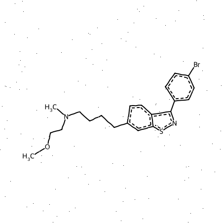 COCCN(C)CCCCc1ccc2c(-c3ccc(Br)cc3)nsc2c1